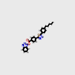 CCCCCc1ccc(-c2nnc(-c3ccc(C(=O)On4nnc5ccccc54)cc3)s2)cc1